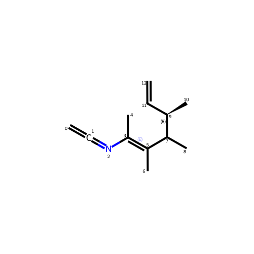 C=C=N/C(C)=C(\C)C(C)[C@H](C)C=C